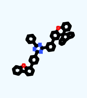 c1ccc(-c2nc(-c3ccc(-c4cccc5c4oc4ccccc45)cc3)nc(-c3cccc(-c4ccc5c(c4)C4(c6ccccc6O5)c5ccccc5-c5ccccc54)c3)n2)cc1